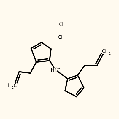 C=CCC1=[C]([Hf+2][C]2=C(CC=C)C=CC2)CC=C1.[Cl-].[Cl-]